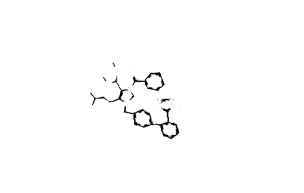 COC(OC)C1=C(CCC(C)C)N(Cc2ccc(-c3ccccc3-c3nnn[nH]3)cc2)CN1C(=O)c1ccccc1